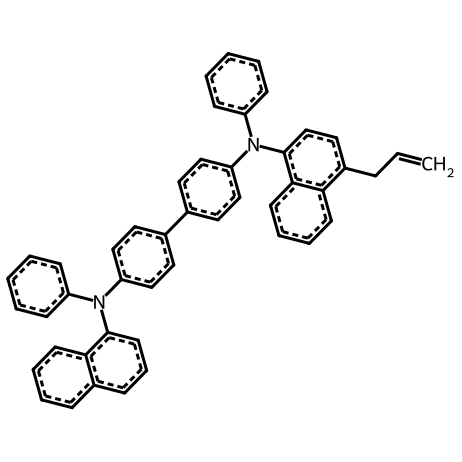 C=CCc1ccc(N(c2ccccc2)c2ccc(-c3ccc(N(c4ccccc4)c4cccc5ccccc45)cc3)cc2)c2ccccc12